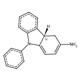 NC1=CC=C2[C@@H](C1)c1ccccc1N2c1ccccc1